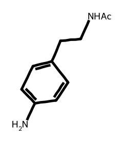 CC(=O)NCCc1ccc(N)cc1